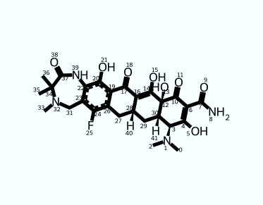 CN(C)[C@@H]1C(O)=C(C(N)=O)C(=O)[C@@]2(O)C(O)=C3C(=O)c4c(O)c5c(c(F)c4C[C@H]3C[C@@H]12)CN(C)C(C)(C)C(=O)N5